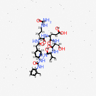 Cc1ccccc1NC(=O)Nc1ccc(CC(=O)N[C@@H](CCCNC(N)=O)C(=O)N[C@@H](CCC(=O)O)C(=O)N[C@@H](CO)C(=O)N[C@H](C(N)=O)C(C)C)cc1